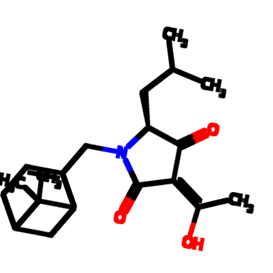 C/C(O)=C1\C(=O)[C@H](CC(C)C)N(CC2=CCC3CC2C3(C)C)C1=O